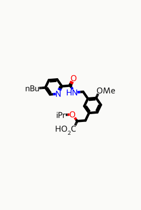 CCCCc1ccc(C(=O)NCc2cc(CC(OC(C)C)C(=O)O)ccc2OC)nc1